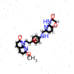 COc1ccc2ccc(=O)n(CCC34CCC(NCc5ccc6c(n5)NC(=O)CO6)(CC3)CO4)c2n1